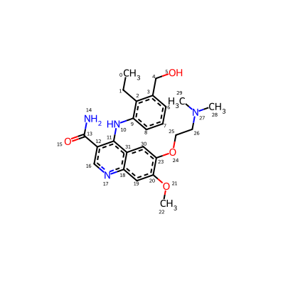 CCc1c(CO)cccc1Nc1c(C(N)=O)cnc2cc(OC)c(OCCN(C)C)cc12